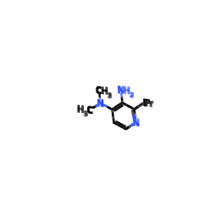 CC(C)c1nccc(N(C)C)c1N